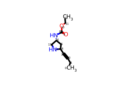 CCC#CC1C[C@@H](NC(=O)OCC)CN1